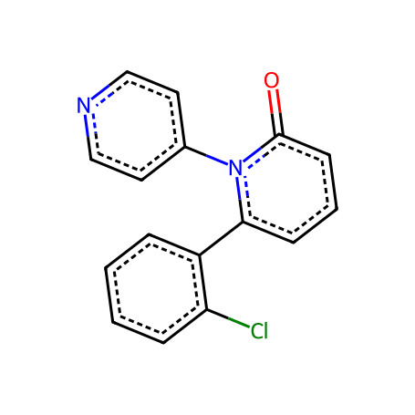 O=c1cccc(-c2ccccc2Cl)n1-c1ccncc1